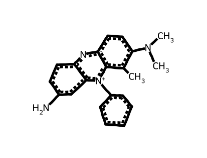 Cc1c(N(C)C)ccc2nc3ccc(N)cc3[n+](-c3ccccc3)c12